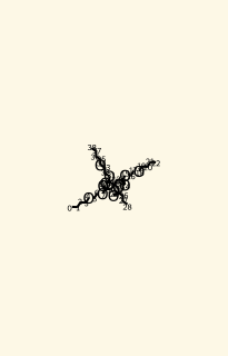 CCCCOCCOC(=O)CC(CC(=O)OCCOCCCC)(OC(=O)CCC)C(=O)OCCOCCCC